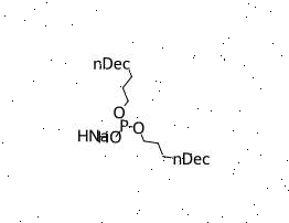 CCCCCCCCCCCCCOP(O)OCCCCCCCCCCCCC.[NaH]